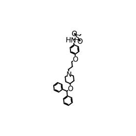 CS(=O)(=O)Nc1ccc(OCCCN2CCC(OC(c3ccccc3)c3ccccc3)CC2)cc1